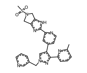 Cc1cccc(-c2nn(Cc3cccnc3)cc2-c2ccnc(-c3nc4c([nH]3)CN(S(C)(=O)=O)C4)c2)n1